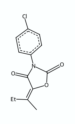 CCC(C)=C1OC(=O)N(c2ccc(Cl)cc2)C1=O